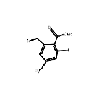 COC(=O)c1c(I)cc([N+](=O)[O-])cc1CBr